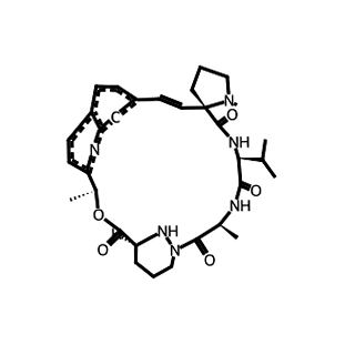 CC(C)[C@@H]1NC(=O)[C@@]2(/C=C/c3ccc4ccc(nc4c3)[C@@H](C)OC(=O)[C@@H]3CCCN(N3)C(=O)[C@H](C)NC1=O)CCCN2C